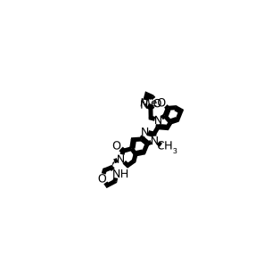 COc1cccc2cc(-c3nc4cc5c(cc4n3C)CCN(C[C@H]3COCCN3)C5=O)n(Cc3ncco3)c12